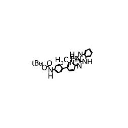 Cc1[nH]/c(=N\C(=N)Nc2ccccc2N)ccc1-c1ccc(NC(=O)OC(C)(C)C)cc1